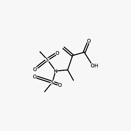 C=C(C(=O)O)C(C)N(S(C)(=O)=O)S(C)(=O)=O